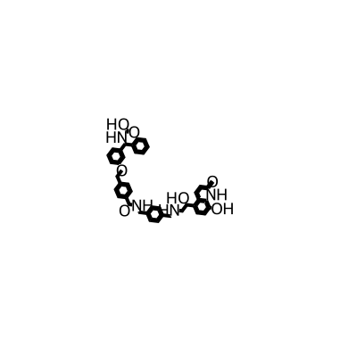 O=C(O)NC(c1ccccc1)c1cccc(OCc2ccc(C(=O)NCc3ccc(CNC[C@@H](O)c4ccc(O)c5[nH]c(=O)ccc45)cc3)cc2)c1